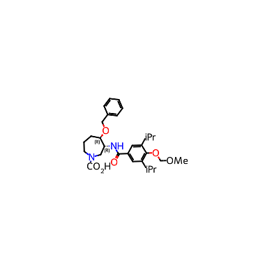 COCOc1c(C(C)C)cc(C(=O)N[C@@H]2CN(C(=O)O)CCC[C@H]2OCc2ccccc2)cc1C(C)C